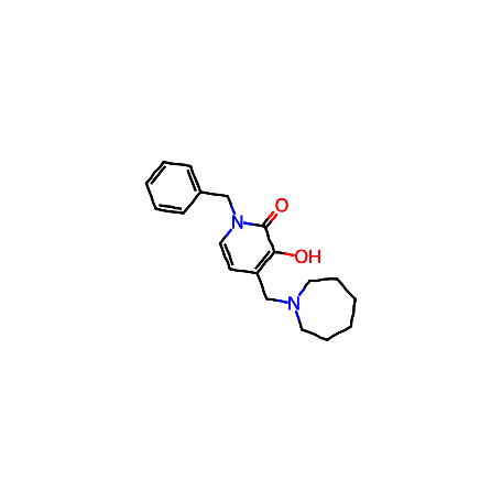 O=c1c(O)c(CN2CCCCCC2)ccn1Cc1ccccc1